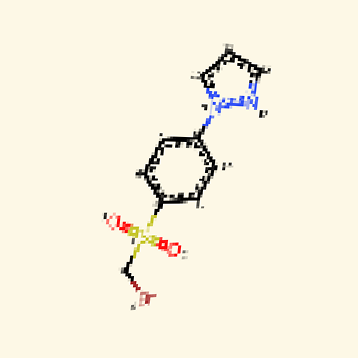 O=S(=O)(CBr)c1ccc(-n2cccn2)cc1